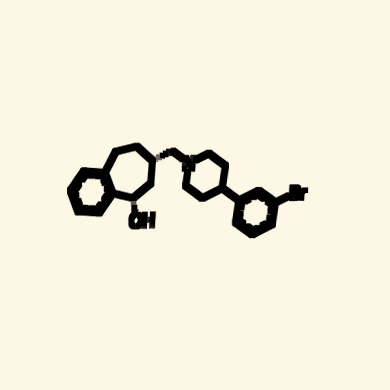 O[C@H]1C[C@@H](CN2CCC(c3cccc(Br)c3)CC2)CCc2ccccc21